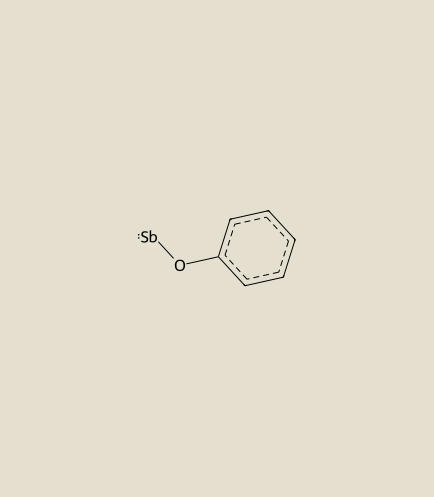 [Sb][O]c1ccccc1